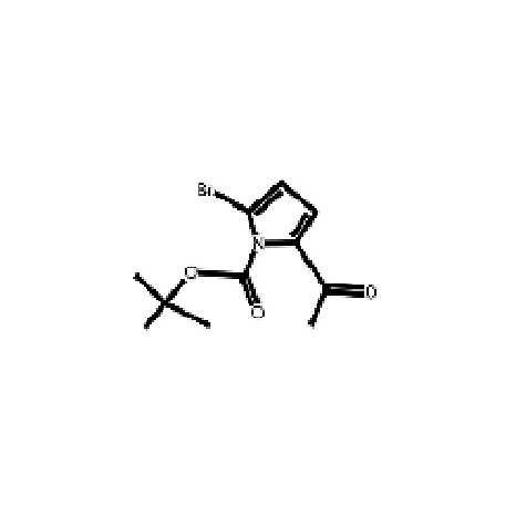 CC(=O)c1ccc(Br)n1C(=O)OC(C)(C)C